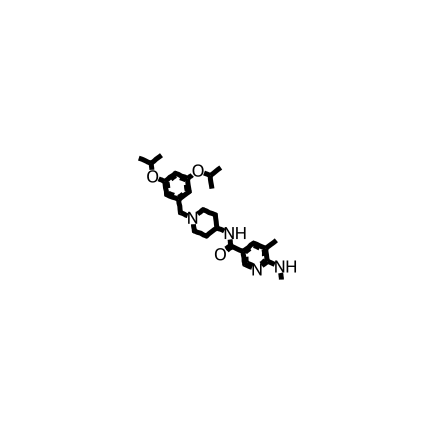 CNc1ncc(C(=O)NC2CCN(Cc3cc(OC(C)C)cc(OC(C)C)c3)CC2)cc1C